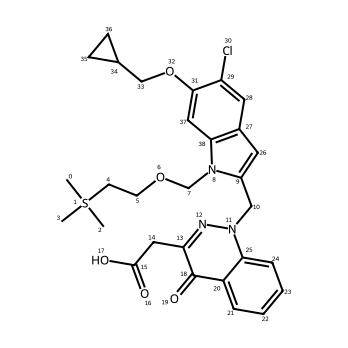 CS(C)(C)CCOCn1c(Cn2nc(CC(=O)O)c(=O)c3ccccc32)cc2cc(Cl)c(OCC3CC3)cc21